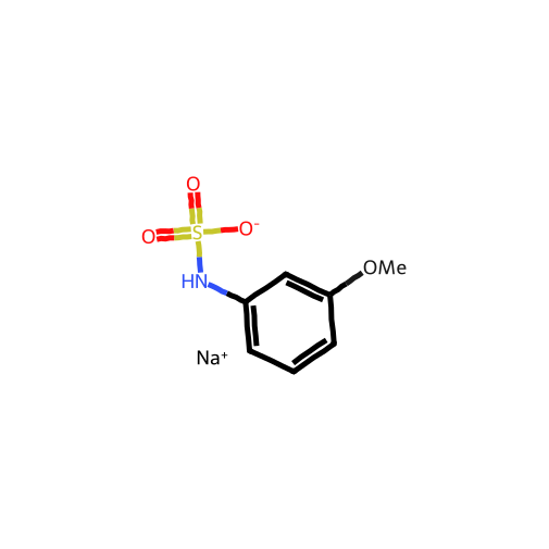 COc1cccc(NS(=O)(=O)[O-])c1.[Na+]